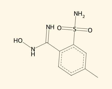 Cc1ccc(C(=N)NO)c(S(N)(=O)=O)c1